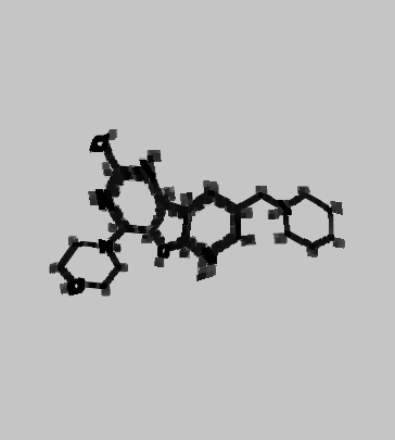 Clc1nc(N2CCOCC2)c2oc3ncc(CN4CCCCC4)cc3c2n1